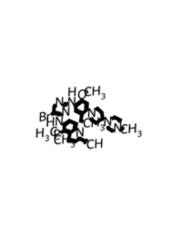 C#Cc1ccc2c(P(C)C)c(Nc3nc(Nc4cc(CC)c(N5CCC(N6CCN(C)CC6)CC5)cc4OC)ncc3Br)ccc2n1